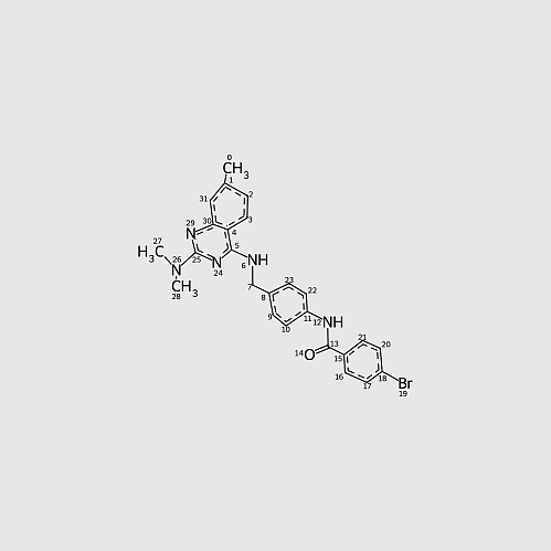 Cc1ccc2c(NCc3ccc(NC(=O)c4ccc(Br)cc4)cc3)nc(N(C)C)nc2c1